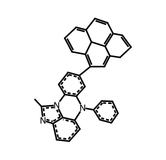 Cc1nc2cccc3c2n1-c1ccc(C2=C4C=CC=C5C=CC6=C(C(=C2)CC=C6)C54)cc1N3c1ccccc1